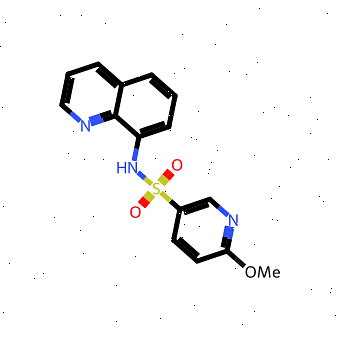 COc1ccc(S(=O)(=O)Nc2cccc3cccnc23)cn1